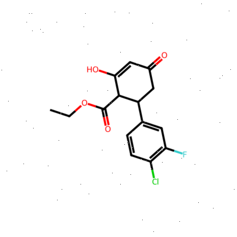 CCOC(=O)C1C(O)=CC(=O)CC1c1ccc(Cl)c(F)c1